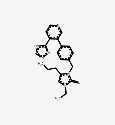 CCCc1cn(CC)c(=O)n1Cc1ccc(-c2cnccc2-c2nnn[nH]2)cc1